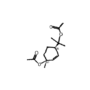 CC(=O)OC(C)(C)[C@H]1C=C[C@](C)(OC(C)=O)CC1